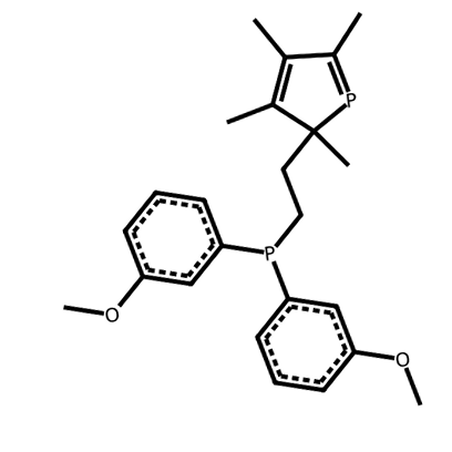 COc1cccc(P(CCC2(C)P=C(C)C(C)=C2C)c2cccc(OC)c2)c1